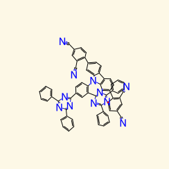 N#Cc1ccc(-c2ccc3c4ccc(-c5ccc(C#N)cc5C#N)cc4n(-c4ccc(-c5nc(-c6ccccc6)nc(-c6ccccc6)n5)cc4-c4nc(-c5ccccc5)nc(-c5ccccc5)n4)c3c2)c(C#N)c1